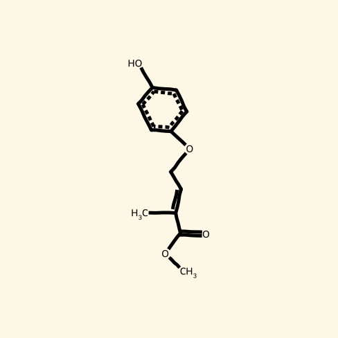 COC(=O)/C(C)=C/COc1ccc(O)cc1